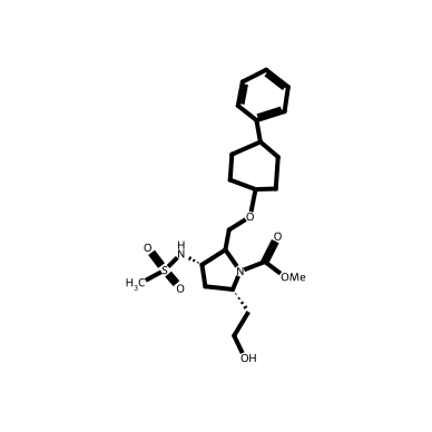 COC(=O)N1C(COC2CCC(c3ccccc3)CC2)[C@@H](NS(C)(=O)=O)C[C@H]1CCO